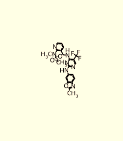 Cc1nc2ccc(Nc3ncc(C(F)(F)F)c(NCc4cccnc4N(C)S(C)(=O)=O)n3)cc2o1